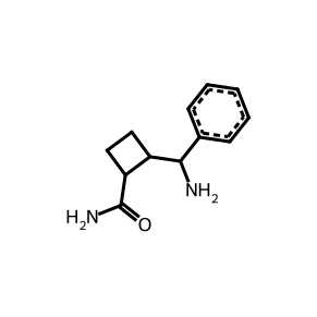 NC(=O)C1CCC1C(N)c1ccccc1